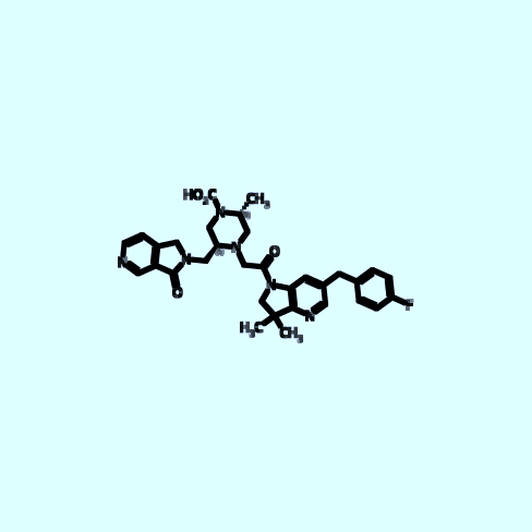 C[C@@H]1CN(CC(=O)N2CC(C)(C)c3ncc(Cc4ccc(F)cc4)cc32)[C@@H](CN2Cc3ccncc3C2=O)CN1C(=O)O